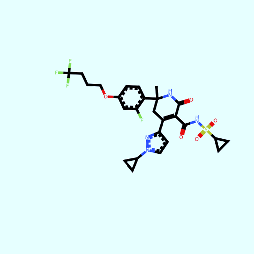 CC1(c2ccc(OCCCC(F)(F)F)cc2F)CC(c2ccn(C3CC3)n2)=C(C(=O)NS(=O)(=O)C2CC2)C(=O)N1